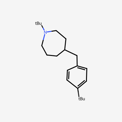 CC(C)(C)c1ccc(CC2CCCN(C(C)(C)C)CC2)cc1